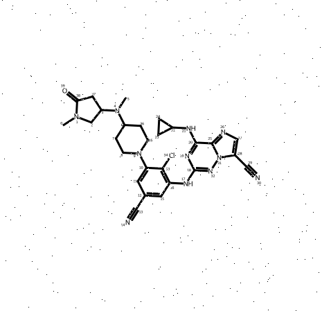 CN1CC(N(C)C2CCN(c3cc(C#N)cc(Nc4nc(NC5CC5)c5ncc(C#N)n5n4)c3Cl)CC2)CC1=O